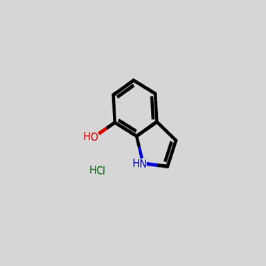 Cl.Oc1cccc2cc[nH]c12